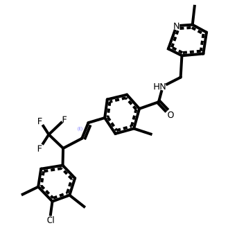 Cc1ccc(CNC(=O)c2ccc(/C=C/C(c3cc(C)c(Cl)c(C)c3)C(F)(F)F)cc2C)cn1